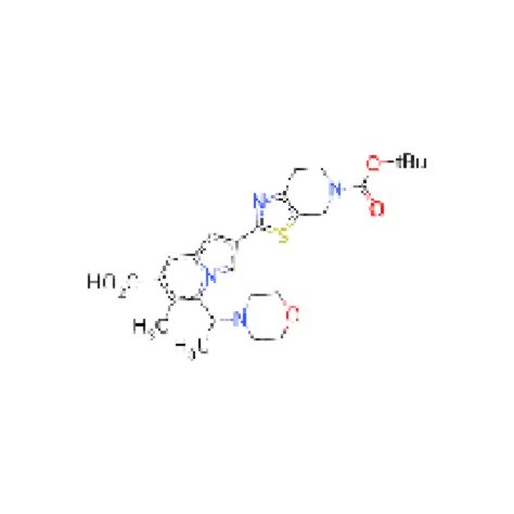 Cc1c(C(=O)O)cc2cc(-c3nc4c(s3)CN(C(=O)OC(C)(C)C)CC4)cn2c1C(C)N1CCOCC1